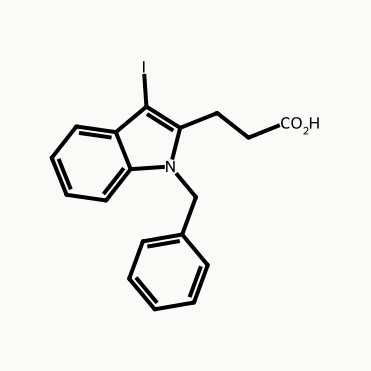 O=C(O)CCc1c(I)c2ccccc2n1Cc1ccccc1